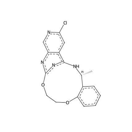 C[C@H]1Nc2nc(nc3cnc(Cl)cc23)OCCOc2ccccc21